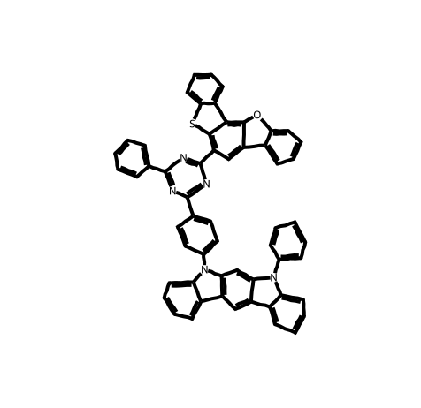 c1ccc(-c2nc(-c3ccc(-n4c5ccccc5c5cc6c7ccccc7n(-c7ccccc7)c6cc54)cc3)nc(-c3cc4c5ccccc5oc4c4c3sc3ccccc34)n2)cc1